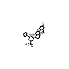 CC(=O)OCC(NC(=O)c1ccccc1)[C@H]1CC[C@H]2C3=CCC4=CC(=O)CC[C@]4(C)[C@H]3CC[C@]12C